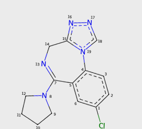 Clc1ccc2c(c1)C(N1CCCC1)=NCc1nncn1-2